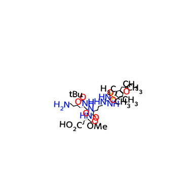 COC(=O)[C@H](CCC(=O)O)NC(=O)[C@H](CCCNC(=N)NS(=O)(=O)c1c(C)c(C)c2c(c1C)CC(C)(C)O2)NC(=O)[C@H](CCCCN)NC(=O)OC(C)(C)C